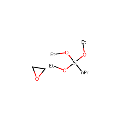 C1CO1.CCC[Si](OCC)(OCC)OCC